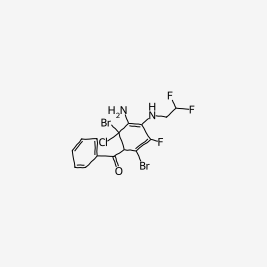 NC1=C(NCC(F)F)C(F)=C(Br)C(C(=O)c2ccccc2)C1(Cl)Br